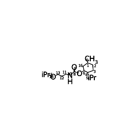 CC1CCC(C(C)C)C(OC(=O)NCCCOC(C)C)C1